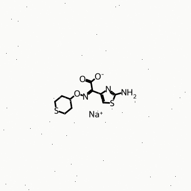 Nc1nc(/C(=N/OC2CCSCC2)C(=O)[O-])cs1.[Na+]